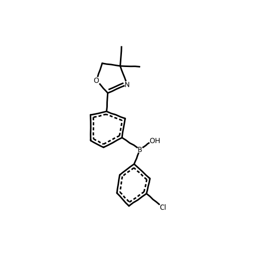 CC1(C)COC(c2cccc(B(O)c3cccc(Cl)c3)c2)=N1